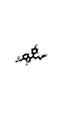 C[S+]([O-])Cc1cccc2c1NCC2C(CCCC#N)c1ccc(Cl)cc1